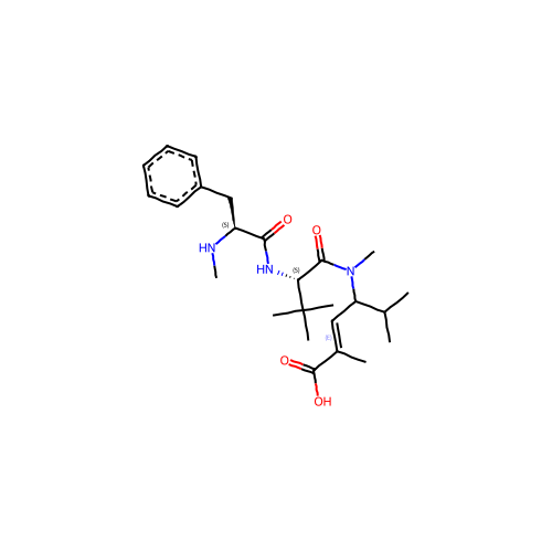 CN[C@@H](Cc1ccccc1)C(=O)N[C@H](C(=O)N(C)C(/C=C(\C)C(=O)O)C(C)C)C(C)(C)C